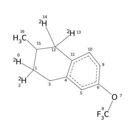 [2H]C1([2H])Cc2cc(OC(F)(F)F)ccc2C([2H])([2H])C1C